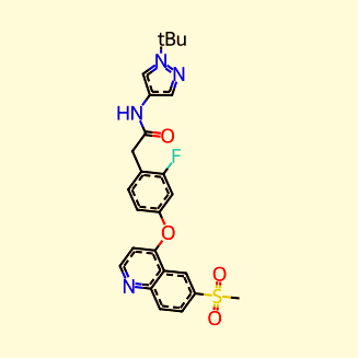 CC(C)(C)n1cc(NC(=O)Cc2ccc(Oc3ccnc4ccc(S(C)(=O)=O)cc34)cc2F)cn1